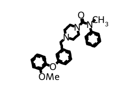 COc1ccccc1Oc1cccc(CN2CCN(C(=O)N(C)c3ccccc3)CC2)c1